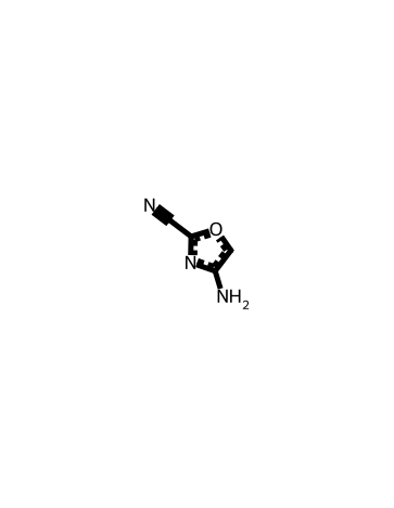 N#Cc1nc(N)co1